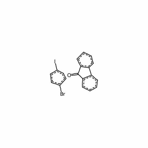 Brc1ccc(I)cc1.O=C1c2ccccc2-c2ccccc21